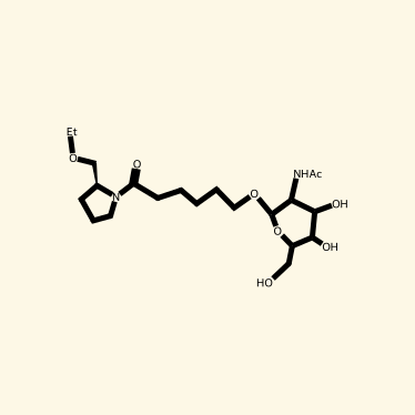 CCOC[C@@H]1CCCN1C(=O)CCCCCOC1OC(CO)C(O)C(O)C1NC(C)=O